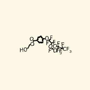 O=C(OCCO)c1ccc(OC(F)(F)C(F)OC(F)(OC(F)(F)C(F)(F)C(F)(F)F)C(F)(F)F)cc1